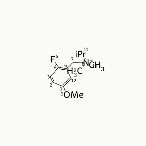 COc1ccc(F)c(C[N+](C)(C)C(C)C)c1